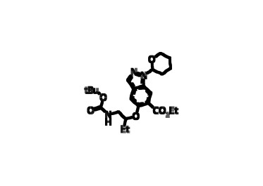 CCOC(=O)c1cc2c(cnn2C2CCCCO2)cc1OC(CC)CNC(=O)OC(C)(C)C